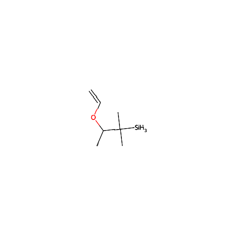 C=COC(C)C(C)(C)[SiH3]